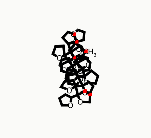 COC1(C2(C3(C4(C5(C6(C7(C8(C9(C%10(C%11(C%12(C%13(C%14(C%15(C%16CCCO%16)CCCO%15)CCCO%14)CCCO%13)CCCO%12)CCCO%11)CCCO%10)CCCO9)CCCO8)CCCO7)CCCO6)CCCO5)CCCO4)CCCO3)CCCO2)CCCO1